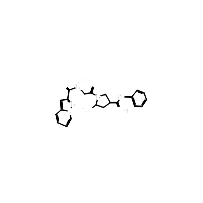 C=C(Nc1ccccc1)C1CC(C#N)N(C(=O)CN(C)C(=O)c2cc3ccccn3n2)C1